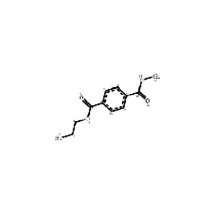 CC(C)(C)CCOC(=O)c1ccc(C(=O)OC(C)(C)C)cc1